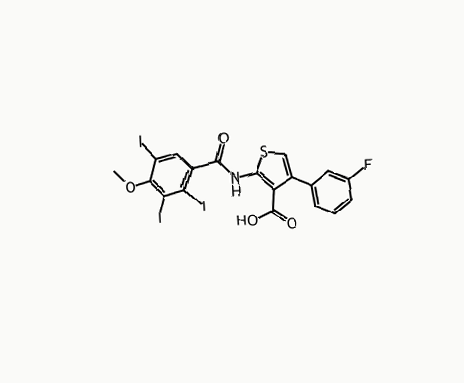 COc1c(I)cc(C(=O)Nc2scc(-c3cccc(F)c3)c2C(=O)O)c(I)c1I